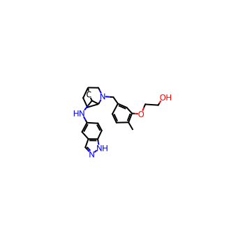 Cc1ccc(CN2CC3CCC2C(Nc2ccc4[nH]ncc4c2)C3)cc1OCCO